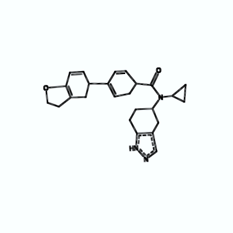 O=C(C1C=CC(C2C=CC3=C(CCO3)C2)=CC1)N(C1CC1)C1CCc2[nH]ncc2C1